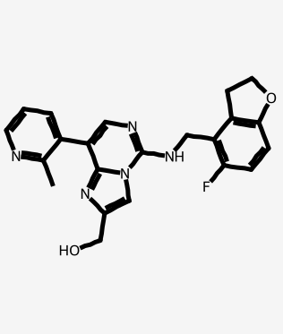 Cc1ncccc1-c1cnc(NCc2c(F)ccc3c2CCO3)n2cc(CO)nc12